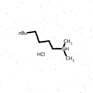 CCCCCCCC[SiH](C)C.Cl